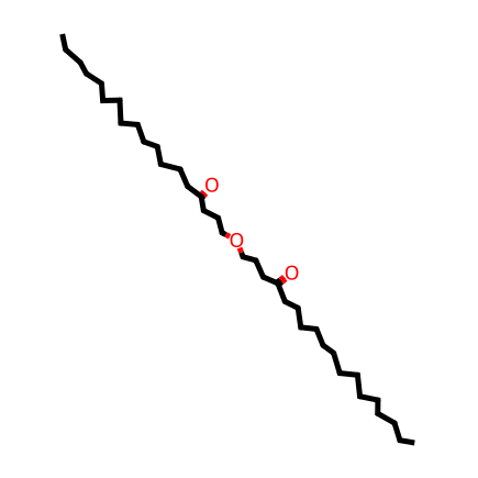 CCCCCCCCCCCCCCC(=O)CCCOCCCC(=O)CCCCCCCCCCCCCC